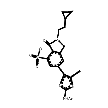 CC(=O)Nc1nc(C)c(-c2cc3c(c(S(=O)(=O)Cl)c2)C(=O)N(CCC2CC2)C3)s1